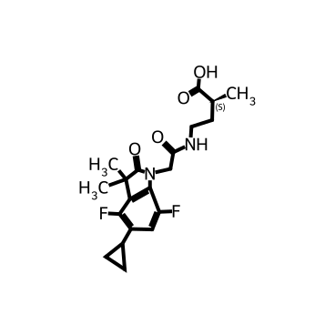 C[C@@H](CCNC(=O)CN1C(=O)C(C)(C)c2c(F)c(C3CC3)cc(F)c21)C(=O)O